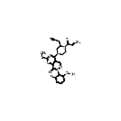 C=CC(=O)N1CCN(c2nc(SC)nc3c(=O)n(-c4c(F)cccc4OC)ncc23)CC1CC#N